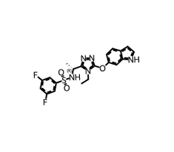 CCn1c(Oc2ccc3cc[nH]c3c2)nnc1[C@@H](C)NS(=O)(=O)c1cc(F)cc(F)c1